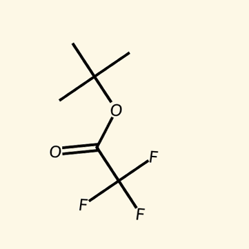 CC(C)(C)OC(=O)C(F)(F)F